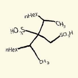 CCCCCCC(C)C(CS(=O)(=O)O)(C(C)CCCCCC)S(=O)(=O)O